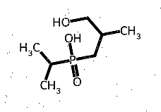 CC(CO)CP(=O)(O)C(C)C